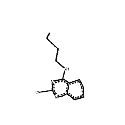 CCCCNc1nc(Cl)nc2ccccc12